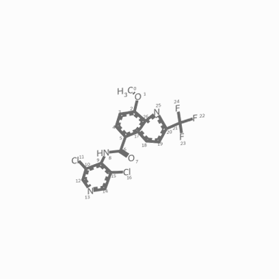 COc1ccc(C(=O)Nc2c(Cl)cncc2Cl)c2ccc(C(F)(F)F)nc12